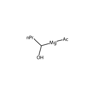 CCC[CH](O)[Mg][C](C)=O